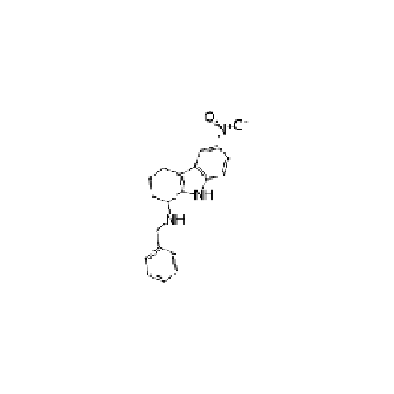 O=[N+]([O-])c1ccc2[nH]c3c(c2c1)CCCC3NCc1ccccc1